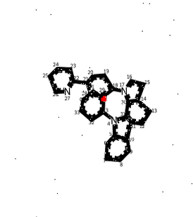 c1ccc(-n2c3ccccc3c3ccc4ccn(-c5ccc(-c6ccccn6)nc5)c4c32)cc1